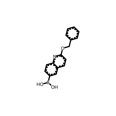 OB(O)c1ccc2nc(OCc3ccccc3)ccc2c1